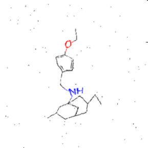 CCOc1ccc(CNC23CC(C)CC(CC(CC)C2)C3)cc1